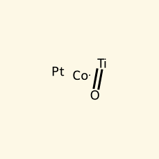 [Co].[O]=[Ti].[Pt]